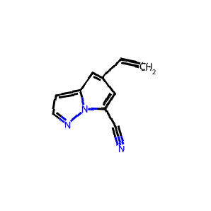 C=Cc1cc(C#N)n2nccc2c1